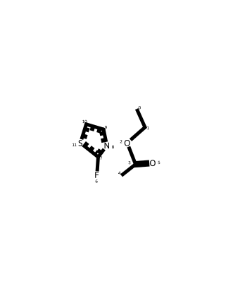 CCOC(C)=O.Fc1nccs1